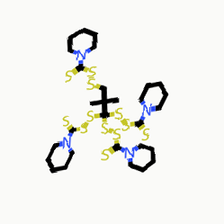 CC(C)(CSSC(=S)N1CCCCC1)C(SSC(=S)N1CCCCC1)(SSC(=S)N1CCCCC1)SSC(=S)N1CCCCC1